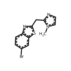 Cn1ccnc1Cc1nc2ccc(Br)cc2s1